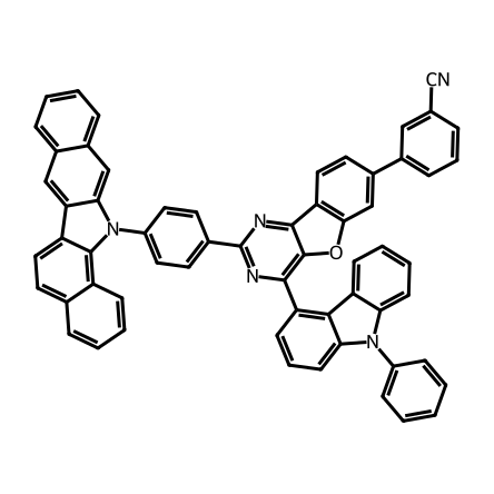 N#Cc1cccc(-c2ccc3c(c2)oc2c(-c4cccc5c4c4ccccc4n5-c4ccccc4)nc(-c4ccc(-n5c6cc7ccccc7cc6c6ccc7ccccc7c65)cc4)nc23)c1